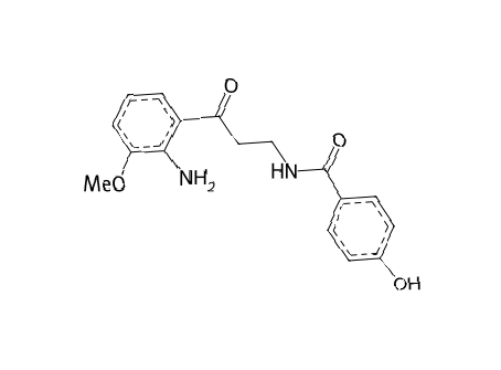 COc1cccc(C(=O)CCNC(=O)c2ccc(O)cc2)c1N